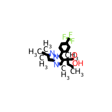 CCCC(C)(C(=O)O)c1c(C)nc2cc(C(C)(C)C)nn2c1-c1ccc(C(F)(F)F)cc1